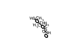 Cc1cc(C(C)(C)c2ccc(OC(=O)Nc3ccccc3)c(C)c2)ccc1O